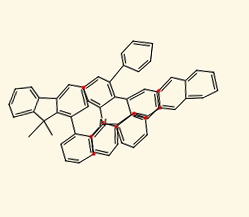 CC1(C)c2ccccc2-c2cccc(-c3ccccc3N(c3cccc(-c4ccc5ccccc5c4)c3)c3cccc(-c4ccccc4)c3-c3ccccc3-c3ccccc3)c21